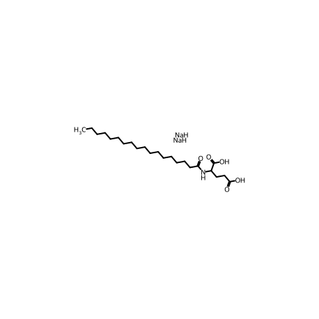 CCCCCCCCCCCCCCCCCC(=O)NC(CCC(=O)O)C(=O)O.[NaH].[NaH]